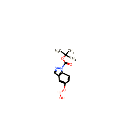 CC(C)(C)OC(=O)n1ncc2cc(OBO)ccc21